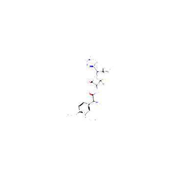 COc1ccc(C(N)C(=O)NC2C(=O)N3C(c4nnn[nH]4)C(C)(C)S[C@@H]23)cc1OC